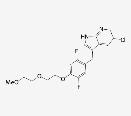 COCCOCCOc1cc(F)c(Cc2c[nH]c3c2=CC(Cl)CN=3)cc1F